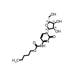 CCCCCOC(=O)Nc1ccn([C@@H]2O[C@H](CO)[C@@H](O)[C@H]2O)c(=O)n1